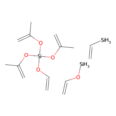 C=CO[SiH3].C=CO[Si](OC(=C)C)(OC(=C)C)OC(=C)C.C=C[SiH3]